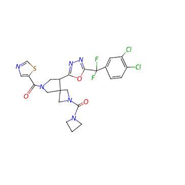 O=C(c1cncs1)N1CC(c2nnc(C(F)(F)c3ccc(Cl)c(Cl)c3)o2)C2(C1)CN(C(=O)N1CCC1)C2